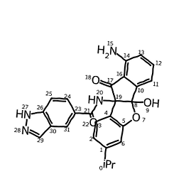 CC(C)c1ccc2c(c1)OC1(O)c3cccc(N)c3C(=O)C21NC(=O)c1ccc2[nH]ncc2c1